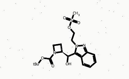 CC(C)(C)OC(=O)N1CC[C@H]1C(O)c1c2ccccc2nn1CCOS(C)(=O)=O